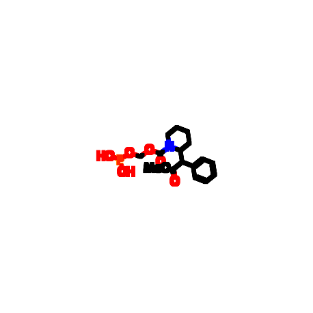 COC(=O)C(c1ccccc1)C1CCCCN1C(=O)OCOP(O)O